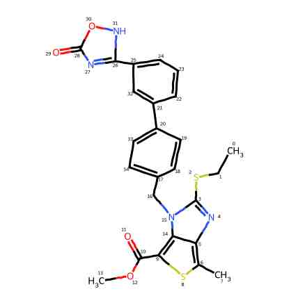 CCSc1nc2c(C)sc(C(=O)OC)c2n1Cc1ccc(-c2cccc(-c3nc(=O)o[nH]3)c2)cc1